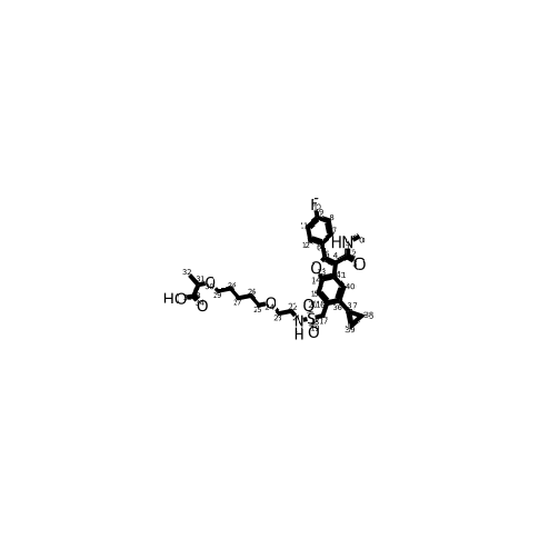 CNC(=O)c1c(-c2ccc(F)cc2)oc2cc(CS(=O)(=O)NCCOCCCCCOC(C)C(=O)O)c(C3CC3)cc12